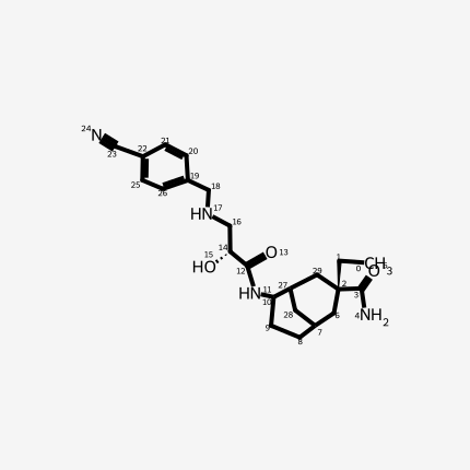 CC[C@@]1(C(N)=O)CC2CCC(NC(=O)[C@H](O)CNCc3ccc(C#N)cc3)C(C2)C1